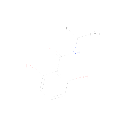 CCCCC(CC)NC(=O)c1c(O)cccc1O